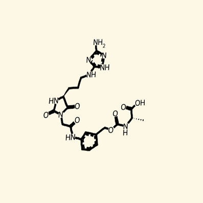 C[C@H](NC(=O)OCc1cccc(NC(=O)CN2C(=O)N[C@@H](CCCNc3nc(N)n[nH]3)C2=O)c1)C(=O)O